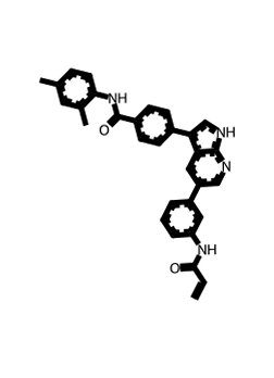 C=CC(=O)Nc1cccc(-c2cnc3[nH]cc(-c4ccc(C(=O)Nc5ccc(C)cc5C)cc4)c3c2)c1